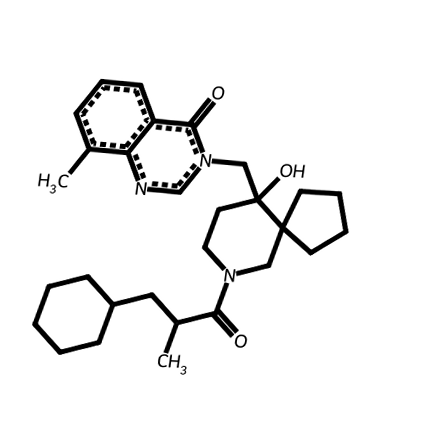 Cc1cccc2c(=O)n(CC3(O)CCN(C(=O)C(C)CC4CCCCC4)CC34CCCC4)cnc12